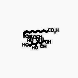 CC.CCCCCCCC/C=C\CCCCCCCC(=O)O.OCC(O)C(O)C(O)C(O)CO